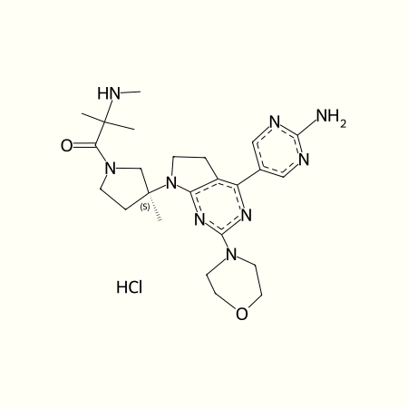 CNC(C)(C)C(=O)N1CC[C@](C)(N2CCc3c(-c4cnc(N)nc4)nc(N4CCOCC4)nc32)C1.Cl